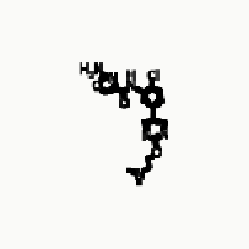 CN(C)CCOc1ncc(-c2ccc(Cl)c(NC(=O)c3coc(N)n3)c2)cn1